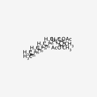 CC(=O)Oc1c(C)c(C)c(OC(C)=O)c(CC[C@@H](C)CC/C=C(\C)CC/C=C(\C)CCC=C(C)C)c1C